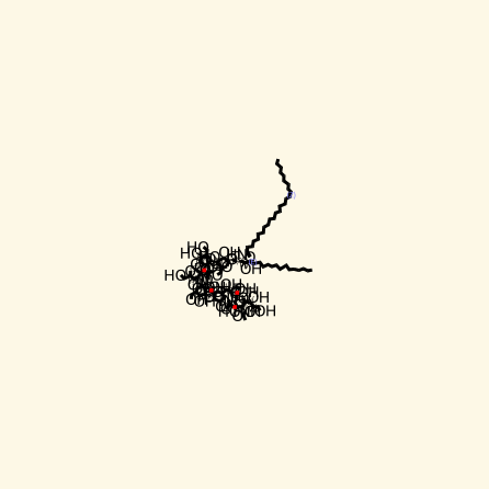 CCCCCCCC/C=C\CCCCCCCCCCCCCCCC(=O)N[C@@H](CO[C@@H]1OC(CO)[C@@H](O[C@@H]2OC(CO)[C@H](O)[C@H](O[C@@H]3OC(CO)[C@@H](O)[C@H](O[C@@H]4OC(CO)[C@H](O)[C@H](O[C@]5(C(=O)O)CC(O)[C@@H](NC(C)=O)C([C@H](O)[C@@H](CO)O[C@]6(C(=O)O)CC(O)[C@@H](NC(C)=O)C([C@H](O)[C@H](O)CO)O6)O5)C4O)C3NC(C)=O)C2O)[C@H](O)C1O)[C@H](O)/C=C/CCCCCCCCCCCCC